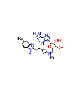 CC(C)N(CC1OC(n2cnc3c(N)ncnc32)[C@H](O)C1O)C1CC(CCc2nc3cc(C(C)(C)C)ccc3[nH]2)C1